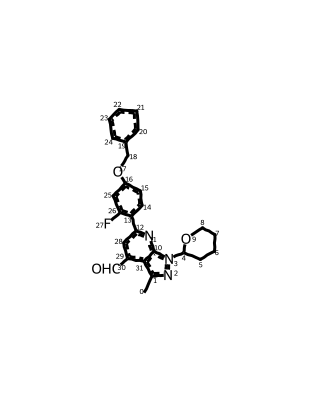 Cc1nn(C2CCCCO2)c2nc(-c3ccc(OCc4ccccc4)cc3F)cc(C=O)c12